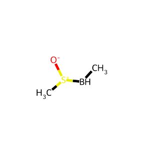 CB[S+](C)[O-]